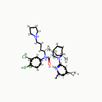 Cc1cc(C(F)(F)F)cc(N2[C@@H]3CC[C@@H](C3)[C@H]2C(=O)N(CCCCN2CCCC2)c2ccc(F)c(Cl)c2)n1